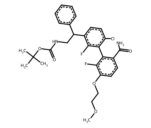 COCCOc1ccc(C(N)=O)c(-c2c(Cl)ccc(C(CNC(=O)OC(C)(C)C)c3ccccc3)c2F)c1F